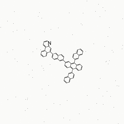 c1ccc2cc(-c3c4ccccc4c(-c4ccc5ccccc5c4)c4cc(-c5ccc6cc(-c7cc8ncccc8c8ccccc78)ccc6c5)ccc34)ccc2c1